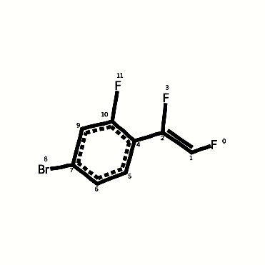 F/C=C(\F)c1ccc(Br)cc1F